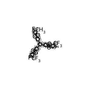 Cc1cc(S(=O)(=O)c2ccc(-c3cc(-c4ccc(S(=O)(=O)c5ccc(F)c(C(F)(F)F)c5)cc4)cc(-c4ccc(S(=O)(=O)c5ccc(F)c(C(F)(F)F)c5)cc4)c3)cc2)ccc1F